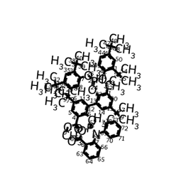 COC(=O)c1cc(C(C)(C)C)cc(-c2cc(C(C)(C)C)cc(C)c2OP(Oc2ccc(C(C)(C)C)cc2C(C)(C)C)Oc2ccc(C(C)(C)C)cc2C(C)(C)C)c1OP1OC(=O)c2ccccc2N1c1ccccc1